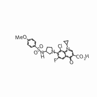 COc1ccc(S(=O)(=O)NC2CCN(c3c(F)cc4c(=O)c(C(=O)O)cn(C5CC5)c4c3Cl)C2)cc1